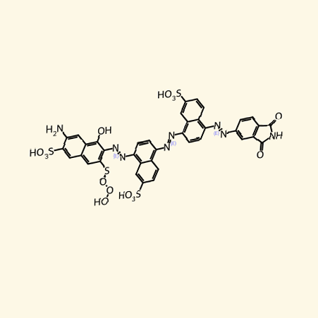 Nc1cc2c(O)c(/N=N/c3ccc(/N=N/c4ccc(/N=N/c5ccc6c(c5)C(=O)NC6=O)c5ccc(S(=O)(=O)O)cc45)c4ccc(S(=O)(=O)O)cc34)c(SOOO)cc2cc1S(=O)(=O)O